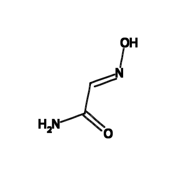 NC(=O)C=NO